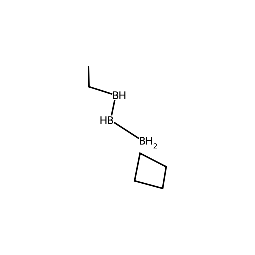 BBBCC.C1CCC1